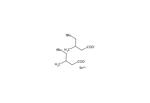 CC(CC(=O)[O-])CC(C)(C)C.CC(CC(=O)[O-])CC(C)(C)C.[Sn+2]